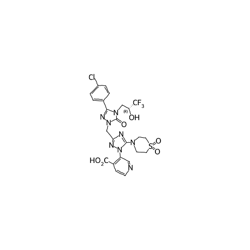 O=C(O)c1ccncc1-n1nc(Cn2nc(-c3ccc(Cl)cc3)n(C[C@@H](O)C(F)(F)F)c2=O)nc1N1CCS(=O)(=O)CC1